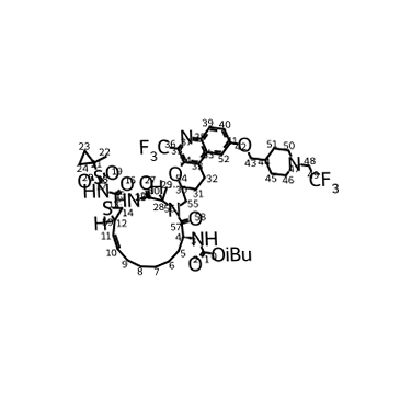 CC(C)COC(=O)N[C@H]1CCCCC/C=C\[C@@H]2S[C@@]2(C(=O)NS(=O)(=O)C2(C)CC2)NC(=O)[C@@H]2C[C@]3(CCc4c(c(C(F)(F)F)nc5ccc(OCC6CCN(CC(F)(F)F)CC6)cc45)O3)CN2C1=O